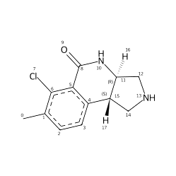 Cc1ccc2c(c1Cl)C(=O)N[C@H]1CNC[C@H]21